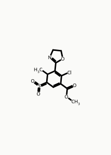 COC(=O)C1=CC(=S(=O)=O)C(C)C(C2=NCCO2)=C1Cl